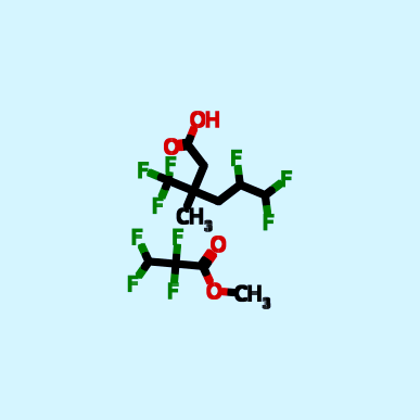 CC(CC(=O)O)(CC(F)C(F)F)C(F)(F)F.COC(=O)C(F)(F)C(F)F